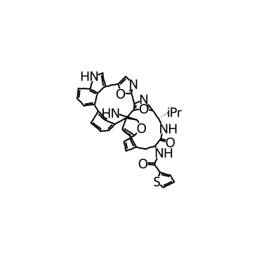 CC(C)[C@@H]1NC(=O)[C@@H](NC(=O)c2cccs2)Cc2ccc3c(c2)C24c5cccc(c5NC2O3)-c2cccc3[nH]cc(c23)-c2cnc(o2)-c2nc1oc24